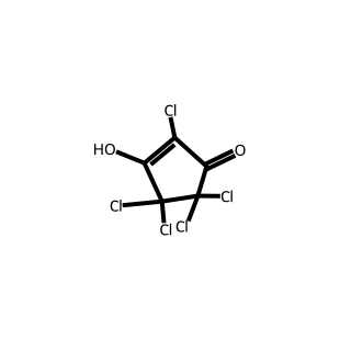 O=C1C(Cl)=C(O)C(Cl)(Cl)C1(Cl)Cl